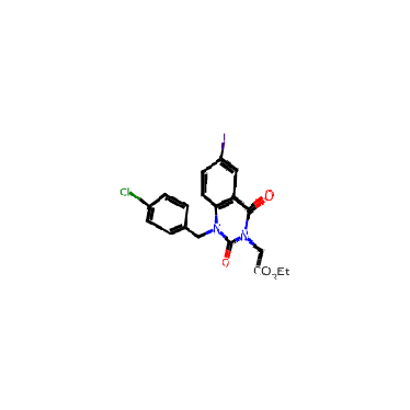 CCOC(=O)Cn1c(=O)c2cc(I)ccc2n(Cc2ccc(Cl)cc2)c1=O